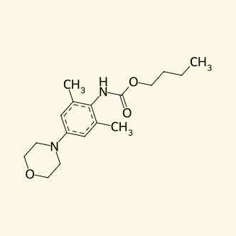 CCCCOC(=O)Nc1c(C)cc(N2CCOCC2)cc1C